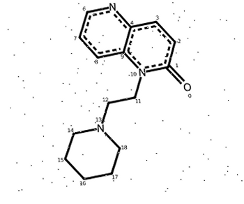 O=c1ccc2ncccc2n1CCN1CCCCC1